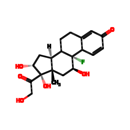 C[C@]12C[C@H](O)[C@]3(F)C4C=CC(=O)C=C4CCC3[C@@H]1C[C@@H](O)[C@]2(O)C(=O)CO